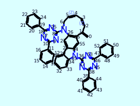 C=C1/C=C\C=C/CN(c2nc(-c3ccccc3)nc(-c3ccccc3)n2)c2cc3c4ccccc4n(-c4nc(-c5ccccc5)nc(-c5ccccc5)n4)c3cc21